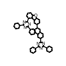 c1ccc(-c2nc(-c3ccccc3)nc(-c3ccc4cc(-c5ccc6oc7cccc(-c8nc(-c9ccccc9)nc(-c9ccccc9)n8)c7c6c5)ccc4c3)n2)cc1